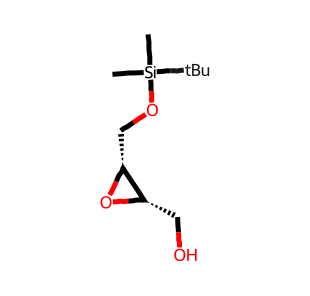 CC(C)(C)[Si](C)(C)OC[C@H]1O[C@H]1CO